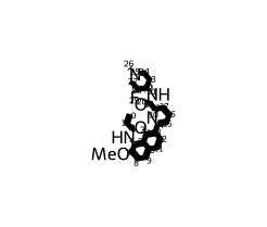 C=CC(=O)Nc1c(OC)ccc2ccc(-c3cccc(C(=O)N[C@H]4CCN(C)C[C@H]4F)n3)cc12